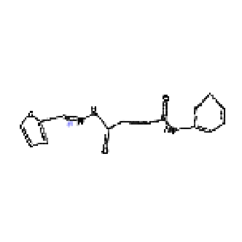 O=C(CCC(=O)NC1=CC=CCC1)N/N=C/c1ccco1